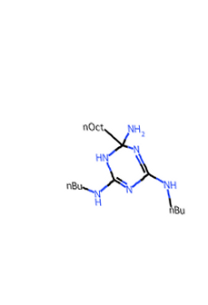 CCCCCCCCC1(N)N=C(NCCCC)N=C(NCCCC)N1